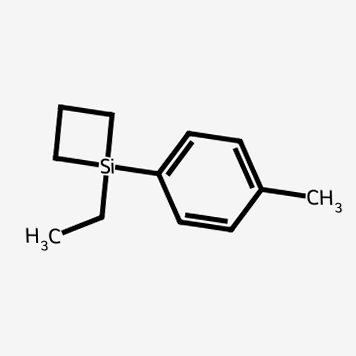 CC[Si]1(c2ccc(C)cc2)CCC1